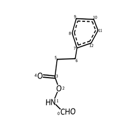 O=CNOC(=O)CCc1ccccc1